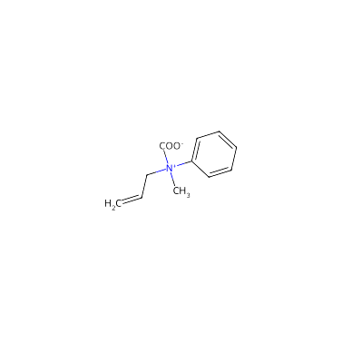 C=CC[N+](C)(C(=O)[O-])c1ccccc1